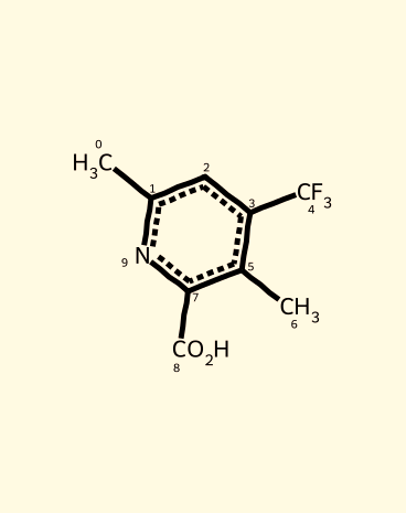 Cc1cc(C(F)(F)F)c(C)c(C(=O)O)n1